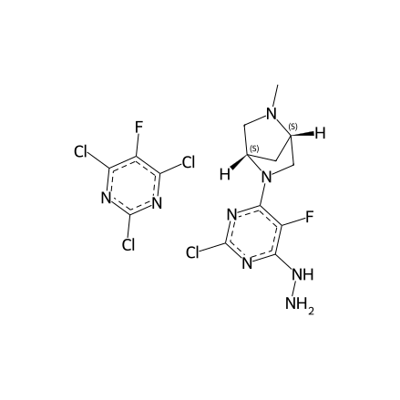 CN1C[C@@H]2C[C@H]1CN2c1nc(Cl)nc(NN)c1F.Fc1c(Cl)nc(Cl)nc1Cl